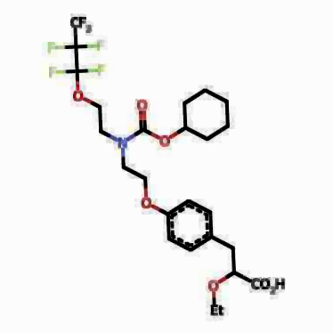 CCOC(Cc1ccc(OCCN(CCOC(F)(F)C(F)(F)C(F)(F)F)C(=O)OC2CCCCC2)cc1)C(=O)O